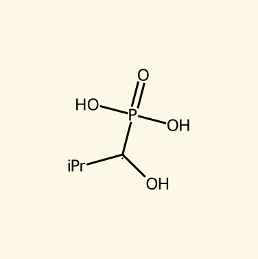 CC(C)[C](O)P(=O)(O)O